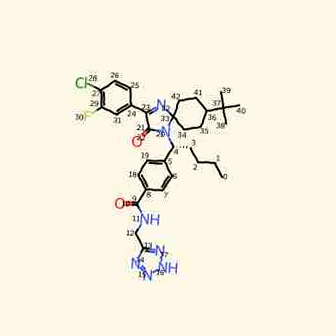 CCCC[C@H](c1ccc(C(=O)NCc2nn[nH]n2)cc1)N1C(=O)C(c2ccc(Cl)c(F)c2)=NC12CCC(C(C)(C)C)CC2